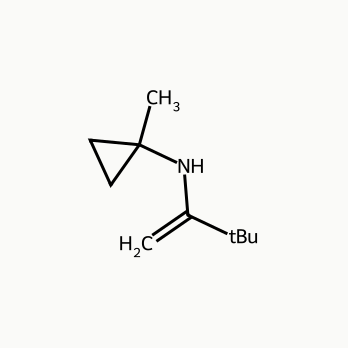 C=C(NC1(C)CC1)C(C)(C)C